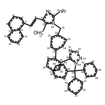 CCCc1nc(C=Cc2cccc3ccccc23)c(C=O)n1Cc1ccc(-c2ccccc2-c2nnnn2C(c2ccccc2)(c2ccccc2)c2ccccc2)cc1